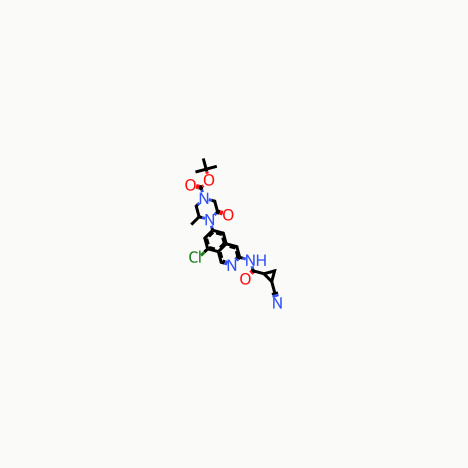 CC1CN(C(=O)OC(C)(C)C)CC(=O)N1c1cc(Cl)c2cnc(NC(=O)C3CC3C#N)cc2c1